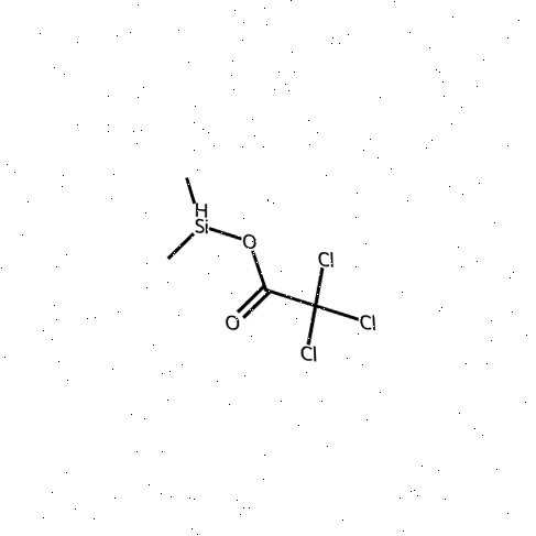 C[SiH](C)OC(=O)C(Cl)(Cl)Cl